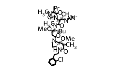 CC[C@H](C)[C@@H]([C@@H](CC(=O)N1CCC[C@H]1[C@H](OC)[C@@H](C)C(=O)NCCc1ccccc1Cl)OC)N(C)C(=O)[C@H](NC(=O)[C@H](C(C)C)N(C)C)[C@H](C)N=[N+]=[N-]